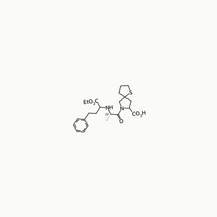 CCOC(=O)C(CCc1ccccc1)N[C@@H](C)C(=O)N1CC2(CCCS2)CC1C(=O)O